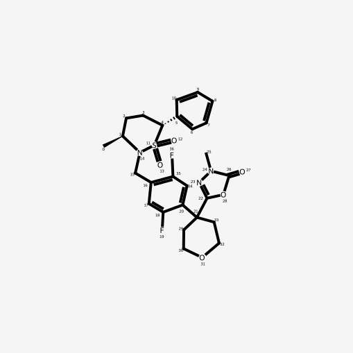 C[C@H]1CC[C@H](c2ccccc2)S(=O)(=O)N1Cc1cc(F)c(C2(c3nn(C)c(=O)o3)CCOCC2)cc1F